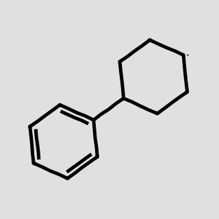 [CH]1CCC(c2ccccc2)CC1